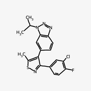 Cc1snc(-c2ccc(F)c(Cl)c2)c1-c1ccc2nnn(C(C)C)c2c1